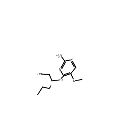 CCC[C@H](CO)Nc1nc(N)ncc1OC